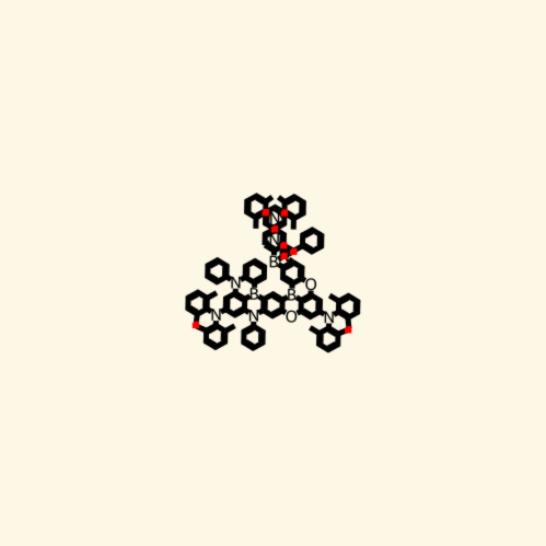 Cc1cccc(C)c1N(c1cc2c3c(c1)Oc1cc4c(cc1B3c1cc3c(cc1O2)N(c1ccccc1)c1cc(N(c2c(C)cccc2C)c2c(C)cccc2C)cc2c1B3c1ccccc1N2c1ccccc1)B1c2ccccc2N(c2ccccc2)c2cc(N(c3c(C)cccc3C)c3c(C)cccc3C)cc(c21)N4c1ccccc1)c1c(C)cccc1C